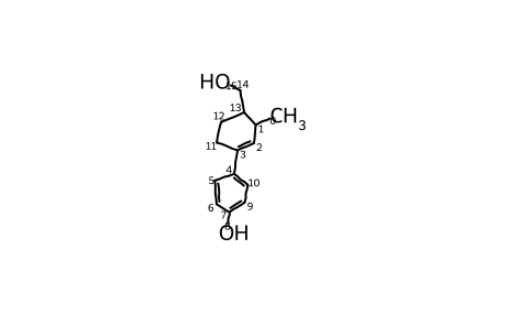 CC1C=C(c2ccc(O)cc2)CCC1CO